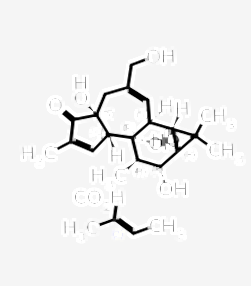 C/C=C(/C)C(=O)O.CC1=C[C@H]2[C@]3(O)[C@H](C)[C@@H](O)[C@@]4(O)[C@H]([C@@H]3C=C(CO)C[C@@]2(O)C1=O)C4(C)C